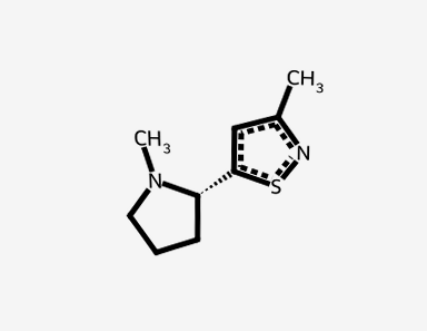 Cc1cc([C@@H]2CCCN2C)sn1